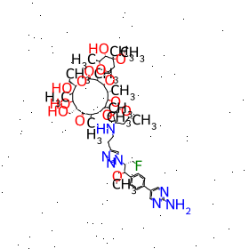 CC[C@H]1OC(=O)[C@H](C)[C@@H](O[C@H]2C[C@@](C)(OC)[C@@H](O)[C@H](C)O2)[C@H](C)[C@@H](O[C@H]2C[C@@H](NCCc3cn([C@H](CF)[C@H](OC)c4ccc(-c5cnc(N)nc5)cc4)nn3)C[C@@H](C)O2)[C@](C)(OC)C[C@@H](C)C(=O)[C@H](CO)[C@@H](O)[C@]1(C)O